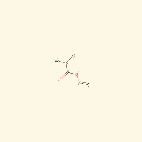 C=COC(=O)C(C(C)=O)C(C)=O